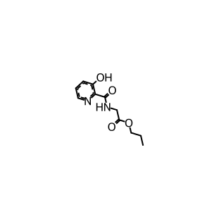 CCCOC(=O)CNC(=O)c1ncccc1O